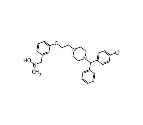 CN(O)Cc1cccc(OCCN2CCN(C(c3ccccc3)c3ccc(Cl)cc3)CC2)c1